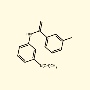 C=C(Nc1cccc(N(C)O)c1)c1cccc(C)c1